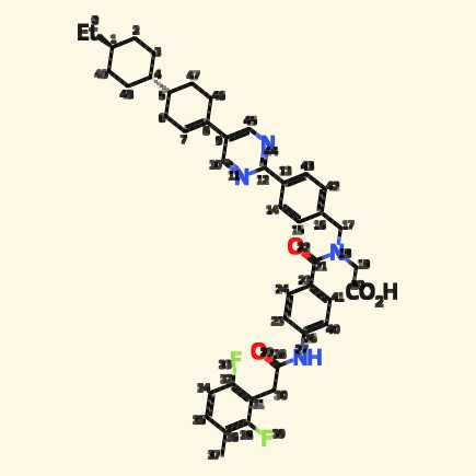 CC[C@H]1CC[C@H](C2CC=C(c3cnc(-c4ccc(CN(CC(=O)O)C(=O)c5ccc(NC(=O)Cc6c(F)ccc(C)c6F)cc5)cc4)nc3)CC2)CC1